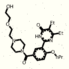 CCCOc1ccc(C(=O)N2CCN(CCOCCO)CC2)cc1-c1nc(CC)c(CC)c(=O)[nH]1